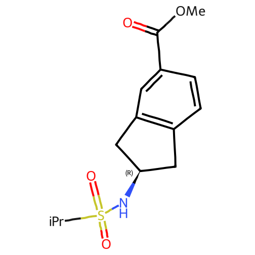 COC(=O)c1ccc2c(c1)C[C@H](NS(=O)(=O)C(C)C)C2